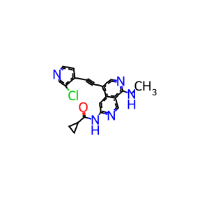 CNc1ncc(C#Cc2ccncc2Cl)c2cc(NC(=O)C3CC3)ncc12